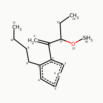 C=C(c1ccccc1CCCC)C(CC)O[SiH3]